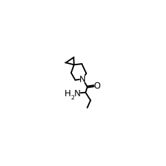 CCC(N)C(=O)N1CCC2(CC1)CC2